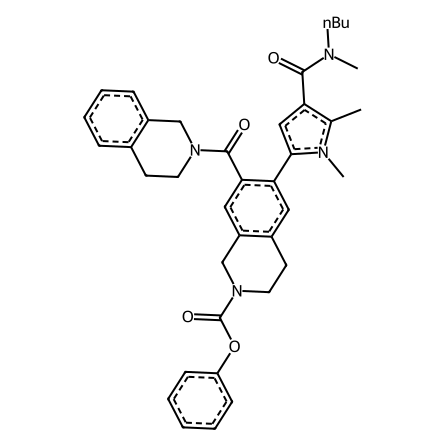 CCCCN(C)C(=O)c1cc(-c2cc3c(cc2C(=O)N2CCc4ccccc4C2)CN(C(=O)Oc2ccccc2)CC3)n(C)c1C